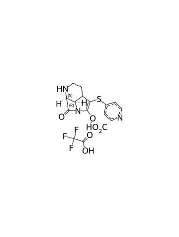 O=C(O)C(F)(F)F.O=C(O)OC1=C(Sc2ccncc2)C2CCN[C@@H]3C(=O)N1[C@H]23